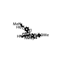 CNC[C@@H](O)COc1ccc(Cl)c(-c2nc(/C(NC)=C(\Cl)C=N)c(C)c(N3Cc4cnc(N5CC(OC)C5)nc4C3)n2)c1